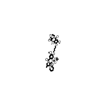 C=C1C[C@H]2C(OC3CCCCO3)N(C(=O)OC(C)(C)C)c3cc(OCCCCCOc4cc5c(cc4OC)C(=O)N4CCOC[C@H]4C(=O)N5)c(OC)cc3C(=O)N2C1